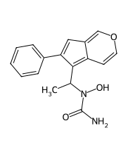 CC(c1c2ccocc-2cc1-c1ccccc1)N(O)C(N)=O